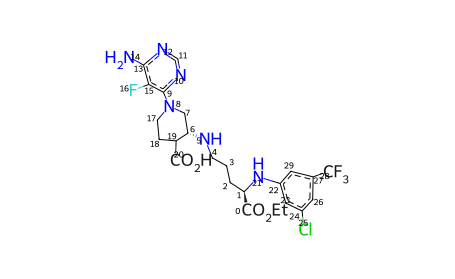 CCOC(=O)[C@@H](CCCN[C@H]1CN(c2ncnc(N)c2F)CCC1C(=O)O)Nc1cc(Cl)cc(C(F)(F)F)c1